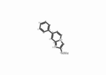 CNc1cn2ccc(-c3ccccc3)cc2n1